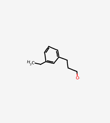 CCc1cccc(CCC[O])c1